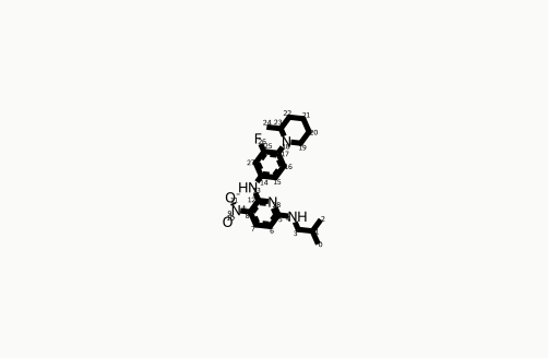 CC(C)CNc1ccc([N+](=O)[O-])c(Nc2ccc(N3CCCCC3C)c(F)c2)n1